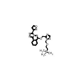 C[Si](C)(C)CCOCn1ncnc1COc1nn2c(-c3ccon3)nnc2c2ccccc12